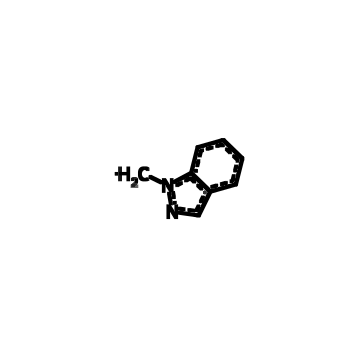 [CH2]n1ncc2ccccc21